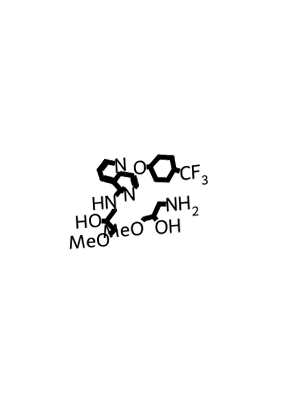 COCC(O)CN.COCC(O)CNc1ncc(OC2CCC(C(F)(F)F)CC2)c2ncccc12